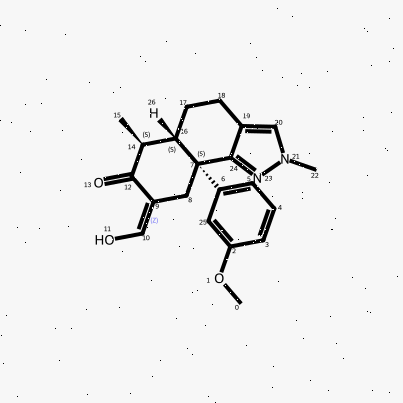 COc1cccc([C@]23C/C(=C/O)C(=O)[C@@H](C)[C@@H]2CCc2cn(C)nc23)c1